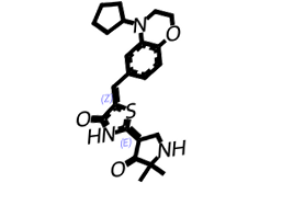 CC1(C)NC/C(=c2/[nH]c(=O)/c(=C/c3ccc4c(c3)N(C3CCCC3)CCO4)s2)C1=O